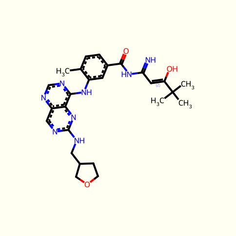 Cc1ccc(C(=O)NC(=N)/C=C(\O)C(C)(C)C)cc1Nc1ncnc2cnc(NCC3CCOC3)nc12